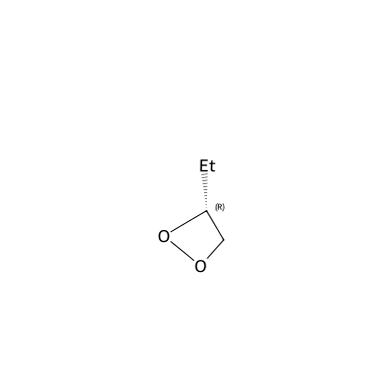 CC[C@@H]1COO1